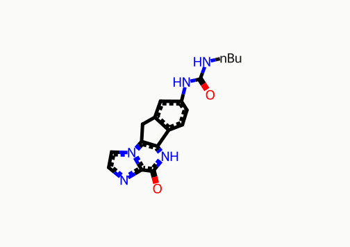 CCCCNC(=O)Nc1ccc2c(c1)Cc1c-2[nH]c(=O)c2nccn12